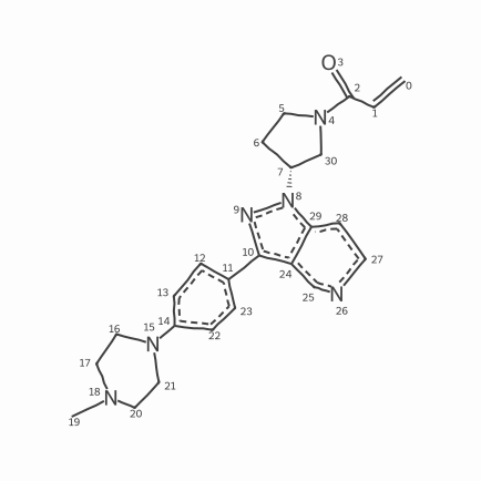 C=CC(=O)N1CC[C@@H](n2nc(-c3ccc(N4CCN(C)CC4)cc3)c3cnccc32)C1